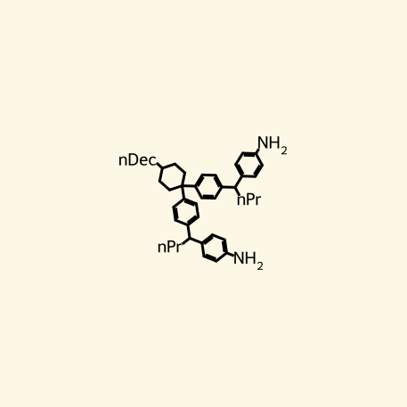 CCCCCCCCCCC1CCC(c2ccc(C(CCC)c3ccc(N)cc3)cc2)(c2ccc(C(CCC)c3ccc(N)cc3)cc2)CC1